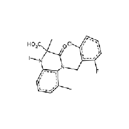 Cc1cccc2c1N(Cc1c(F)cccc1Cl)C(=O)C(C)(C(=O)O)N2I